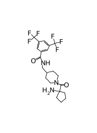 NC1(C(=O)N2CCC(CNC(=O)c3cc(C(F)(F)F)cc(C(F)(F)F)c3)CC2)CCCC1